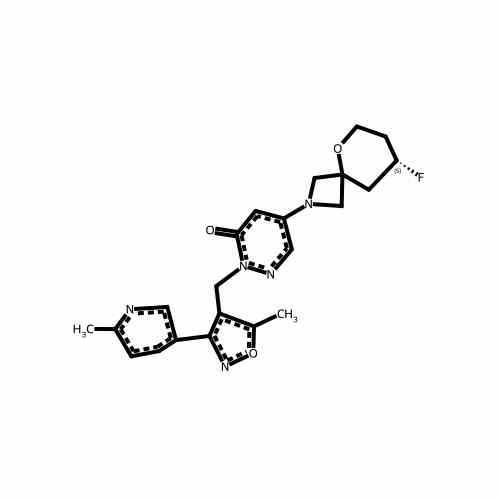 Cc1ccc(-c2noc(C)c2Cn2ncc(N3CC4(C[C@@H](F)CCO4)C3)cc2=O)cn1